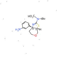 CC(C)(C)N(C(=O)O)C1=N[C@@]2(c3cccc(N)c3)CCOC[C@H]2S1